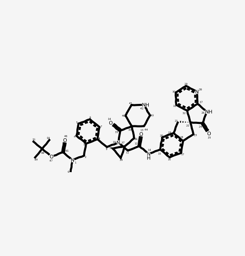 CN(Cc1ccccc1CN(CC(=O)Nc1ccc2c(c1)C[C@@]1(C2)C(=O)Nc2ncccc21)C(=O)C1(CC2CC2)CCNCC1)C(=O)OC(C)(C)C